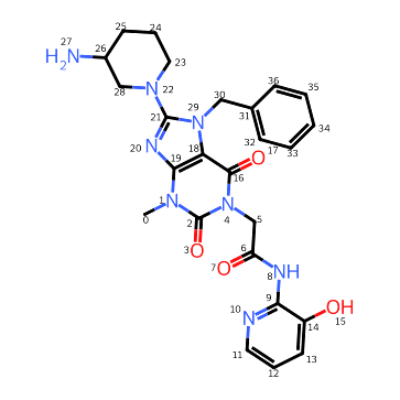 Cn1c(=O)n(CC(=O)Nc2ncccc2O)c(=O)c2c1nc(N1CCCC(N)C1)n2Cc1ccccc1